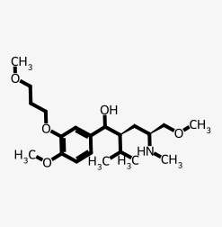 CN[C@H](COC)C[C@@H](C(C)C)C(O)c1ccc(OC)c(OCCCOC)c1